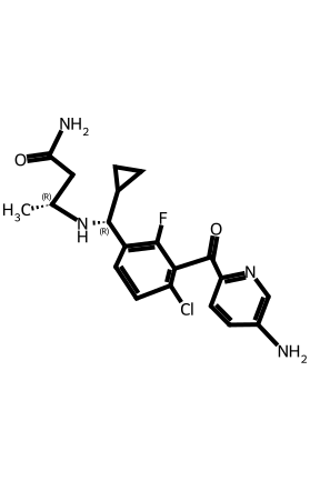 C[C@H](CC(N)=O)N[C@@H](c1ccc(Cl)c(C(=O)c2ccc(N)cn2)c1F)C1CC1